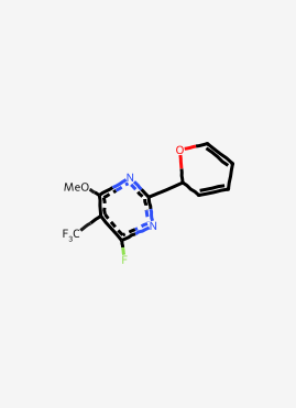 COc1nc(C2C=CC=CO2)nc(F)c1C(F)(F)F